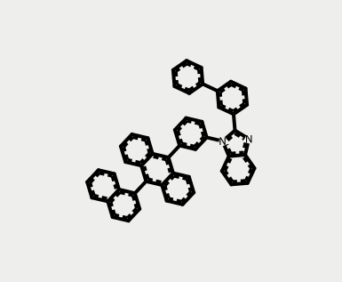 c1ccc(-c2cccc(-c3nc4ccccc4n3-c3cccc(-c4c5ccccc5c(-c5cccc6ccccc56)c5ccccc45)c3)c2)cc1